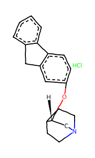 Cl.c1ccc2c(c1)Cc1cc(O[C@@H]3CN4CCC3CC4)ccc1-2